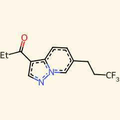 CCC(=O)c1cnn2cc(CCC(F)(F)F)ccc12